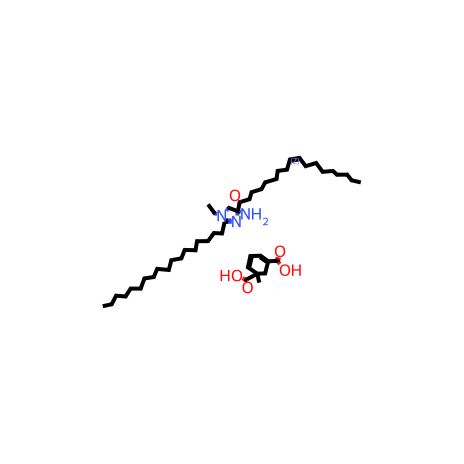 CC1(C(=O)O)C=CC=C(C(=O)O)C1.CCCCCCCC/C=C\CCCCCCCC(=O)C1(N)CN(CC)C(CCCCCCCCCCCCCCCCCC)=N1